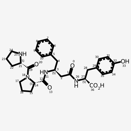 O=C(C[C@H](Cc1ccccc1)NC(=O)[C@@H]1CCCN1C(=O)[C@@H]1CCCN1)N[C@@H](Cc1ccc(O)cc1)C(=O)O